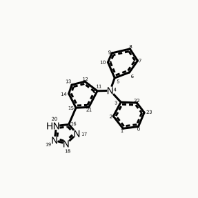 c1ccc(N(c2ccccc2)c2cccc(-c3nnn[nH]3)c2)cc1